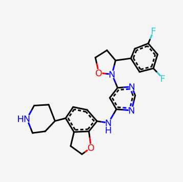 Fc1cc(F)cc(C2CCON2c2cc(Nc3ccc(C4CCNCC4)c4c3OCC4)ncn2)c1